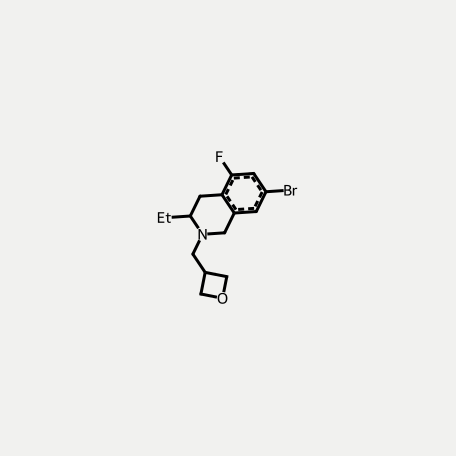 CCC1Cc2c(F)cc(Br)cc2CN1CC1COC1